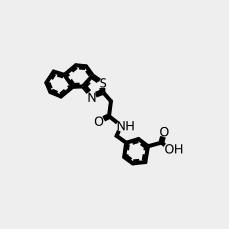 O=C(Cc1nc2c(ccc3ccccc32)s1)NCc1cccc(C(=O)O)c1